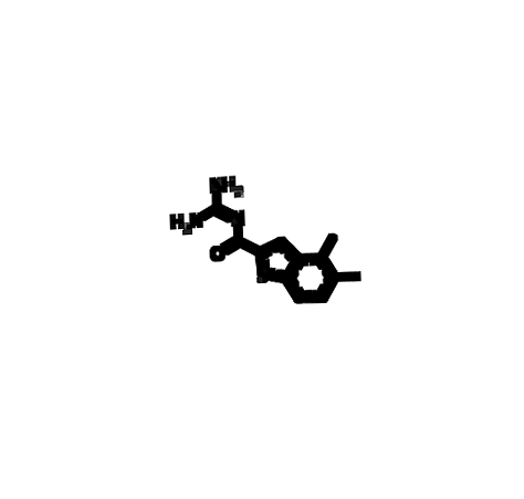 Cc1ccc2sc(C(=O)N=C(N)N)cc2c1C